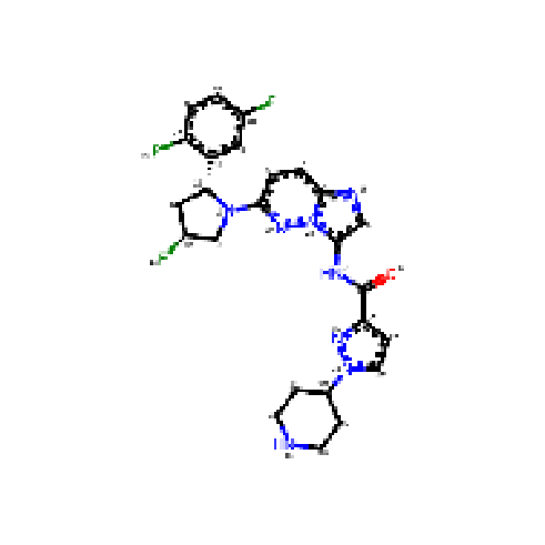 O=C(Nc1cnc2ccc(N3C[C@@H](F)C[C@@H]3c3cc(F)ccc3F)nn12)c1ccn(C2CCNCC2)n1